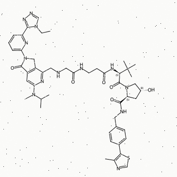 CCn1cnnc1-c1cccc(N2Cc3c(cc(N(C)C(C)C)nc3CNCC(=O)NCCC(=O)N[C@H](C(=O)N3C[C@H](O)C[C@H]3C(=O)NCc3ccc(-c4scnc4C)cc3)C(C)(C)C)C2=O)n1